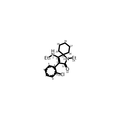 CCNC1=C(c2ccccc2Cl)C(=O)N(CC)C12CCCCC2